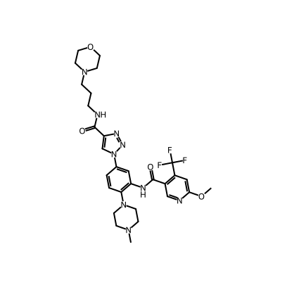 COc1cc(C(F)(F)F)c(C(=O)Nc2cc(-n3cc(C(=O)NCCCN4CCOCC4)nn3)ccc2N2CCN(C)CC2)cn1